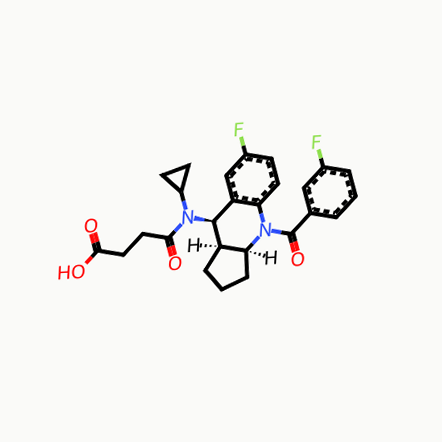 O=C(O)CCC(=O)N(C1CC1)[C@H]1c2cc(F)ccc2N(C(=O)c2cccc(F)c2)[C@H]2CCC[C@H]21